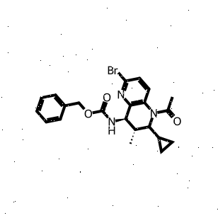 CC(=O)N1c2ccc(Br)nc2[C@H](NC(=O)OCc2ccccc2)[C@@H](C)C1C1CC1